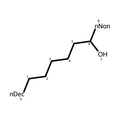 CCCCCCCCCCCCCCCC(O)CCCCCCCCC